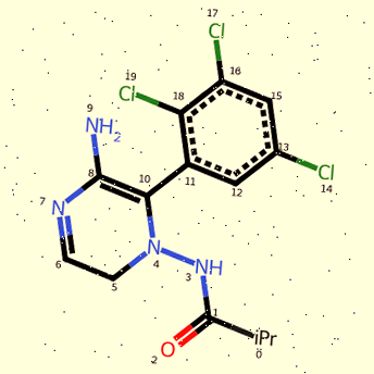 CC(C)C(=O)NN1CC=NC(N)=C1c1cc(Cl)cc(Cl)c1Cl